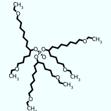 CCOCCCCCCCC(CCCCOCC)OP(=O)(OC(CCCCCCCOCC)CCCCOCC)OC(CCCCCCCOCC)CCCCOCC